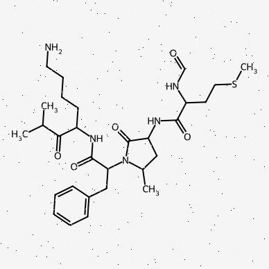 CSCCC(NC=O)C(=O)NC1CC(C)N(C(Cc2ccccc2)C(=O)NC(CCCCN)C(=O)C(C)C)C1=O